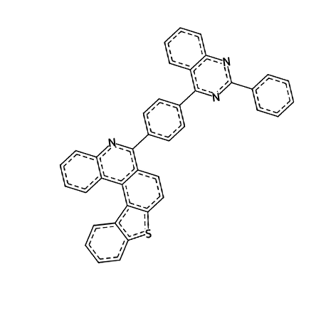 c1ccc(-c2nc(-c3ccc(-c4nc5ccccc5c5c4ccc4sc6ccccc6c45)cc3)c3ccccc3n2)cc1